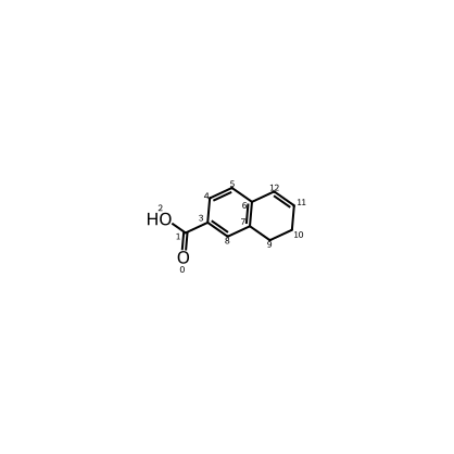 O=C(O)c1ccc2c(c1)CCC=C2